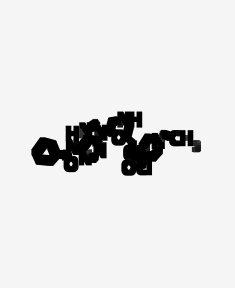 CCN1CCN(P(=O)(Cl)OC[C@@H]2CNC[C@@H](n3cnc4c(NC(=O)c5ccccc5)ncnc43)O2)CC1